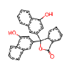 O=C1OC(c2cc(O)c3ccccc3c2)(c2cc(O)c3ccccc3c2)c2ccccc21